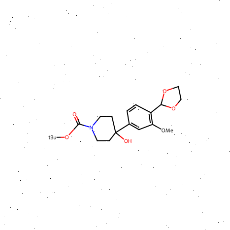 COc1cc(C2(O)CCN(C(=O)OC(C)(C)C)CC2)ccc1C1OCCO1